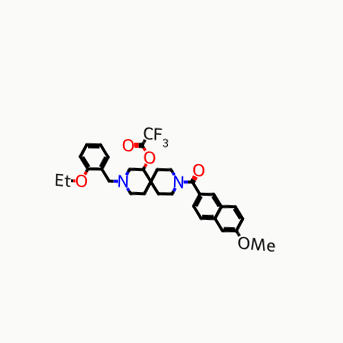 CCOc1ccccc1CN1CCC2(CCN(C(=O)c3ccc4cc(OC)ccc4c3)CC2)C(OC(=O)C(F)(F)F)C1